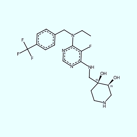 CCN(Cc1ccc(C(F)(F)F)cc1)c1ncnc(NC[C@@]2(O)CCNC[C@@H]2O)c1F